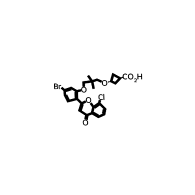 CC(C)(COc1cc(Br)ccc1-c1cc(=O)c2cccc(Cl)c2o1)CO[C@H]1C[C@@H](C(=O)O)C1